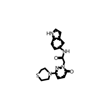 O=C(Cn1nc(N2CCSCC2)ccc1=O)Nc1ccc2[nH]ccc2c1